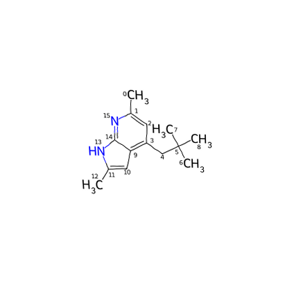 Cc1cc(CC(C)(C)C)c2cc(C)[nH]c2n1